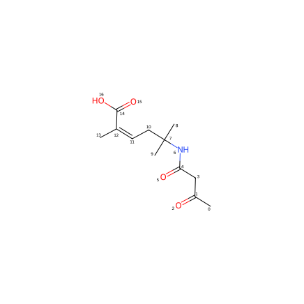 CC(=O)CC(=O)NC(C)(C)CC=C(C)C(=O)O